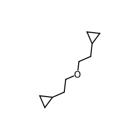 C(CC1CC1)OCCC1CC1